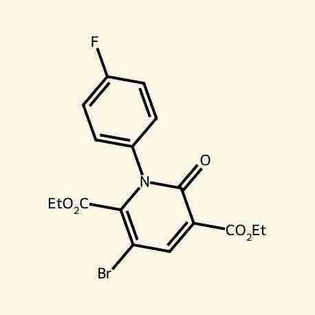 CCOC(=O)c1cc(Br)c(C(=O)OCC)n(-c2ccc(F)cc2)c1=O